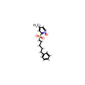 Cc1cc[n+]([O-])c(S(=O)(=O)CCCCCc2ccccc2)c1